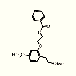 COCCc1ccc(C(=O)O)cc1OCCOC(=O)c1ccccc1